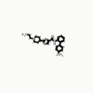 Cc1ccc(-c2ccccc2NC(=O)c2csc(C3CCN(CCC(F)(F)F)CC3)n2)cc1